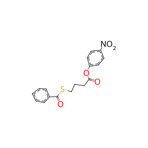 O=C(CCCSC(=O)c1ccccc1)Oc1ccc([N+](=O)[O-])cc1